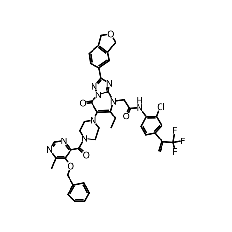 C=C(c1ccc(NC(=O)Cn2c(CC)c(N3CCN(C(=O)c4ncnc(C)c4OCc4ccccc4)CC3)c(=O)n3nc(-c4ccc5c(c4)COC5)nc23)c(Cl)c1)C(F)(F)F